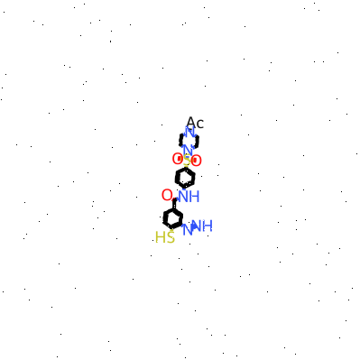 CC(=O)N1CCN(S(=O)(=O)c2ccc(NC(=O)c3ccc(S)c(N=N)c3)cc2)CC1